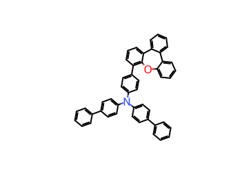 c1ccc(-c2ccc(N(c3ccc(-c4ccccc4)cc3)c3ccc(-c4cccc5c4Oc4ccccc4-c4ccccc4-5)cc3)cc2)cc1